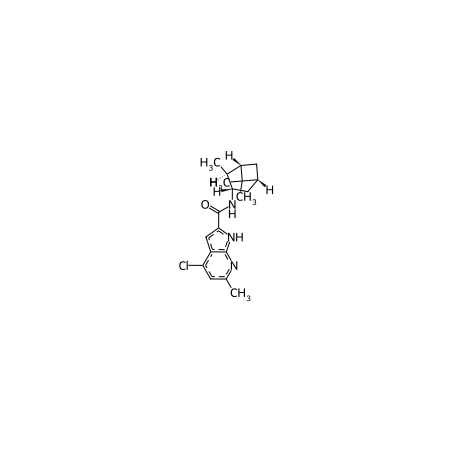 Cc1cc(Cl)c2cc(C(=O)N[C@H]3C[C@H]4C[C@@H]([C@@H]3C)C4(C)C)[nH]c2n1